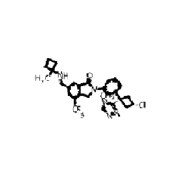 Cn1cnnc1[C@]1(c2cccc(N3Cc4c(cc(CNC5(C)CCC5)cc4C(F)(F)F)C3=O)c2)C[C@H](Cl)C1